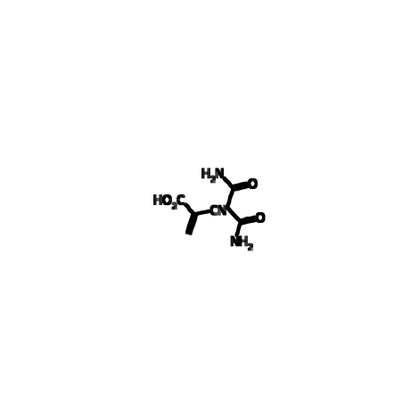 C=C(C#N)C(=O)O.NC(=O)CC(N)=O